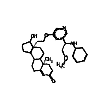 COCC(NC1CCCCC1)c1cncc(OCC[C@]23CCC4C(CCC5=CC(=O)CC[C@@]54C)C2CCC3O)c1